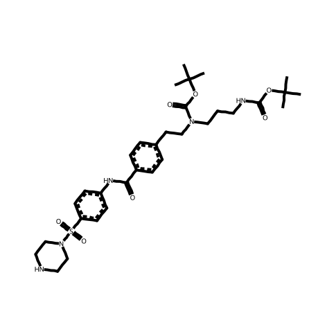 CC(C)(C)OC(=O)NCCCN(CCc1ccc(C(=O)Nc2ccc(S(=O)(=O)N3CCNCC3)cc2)cc1)C(=O)OC(C)(C)C